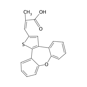 CC(=Cc1cc2c(s1)-c1ccccc1Oc1ccccc1-2)C(=O)O